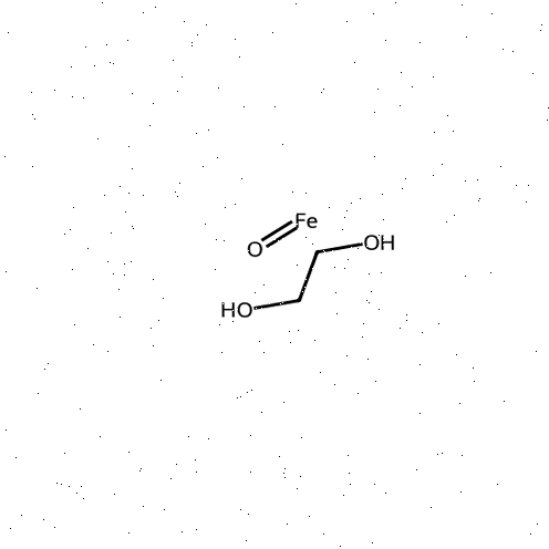 OCCO.[O]=[Fe]